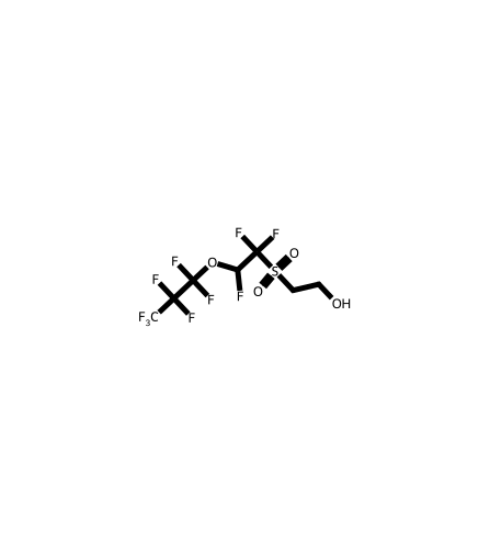 O=S(=O)(CCO)C(F)(F)C(F)OC(F)(F)C(F)(F)C(F)(F)F